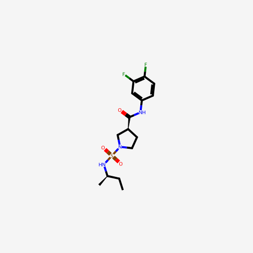 CC[C@@H](C)NS(=O)(=O)N1CC[C@H](C(=O)Nc2ccc(F)c(F)c2)C1